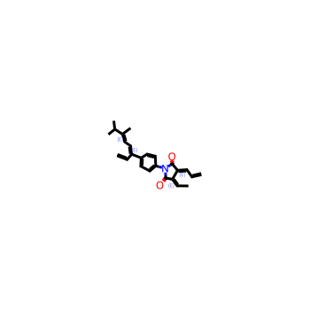 C=C/C=C1/C(=O)N(c2ccc(/C(C=C)=C/C=C(\C)C(C)C)cc2)C(=O)/C1=C/C